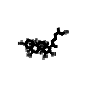 CC(CO)CCCC(C)[C@H]1[C@@H](O)[C@@H](O)[C@@H]2[C@]1(C)CC[C@@H]1[C@@]3(C)CC[C@H](O)C[C@@H]3[C@@H](O)C[C@]12O